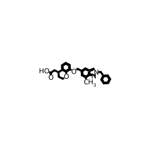 Cc1cc(COc2cccc3c2OCCC3CC(=O)O)cc2cn(Cc3ccccc3)nc12